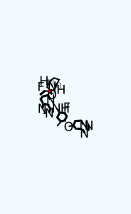 C=C(F)C(=O)N1[C@@H]2CC[C@H]1C[C@@H](c1ccc3ncnc(Nc4cc(C)c(Oc5ccn6ncnc6c5)cc4F)c3n1)C2